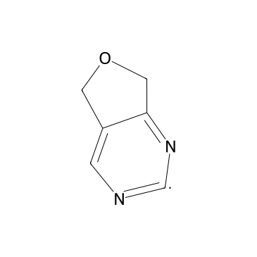 [c]1ncc2c(n1)COC2